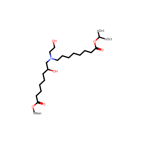 CCCCCCCCCOC(=O)CCCCCC(O)CN(CCO)CCCCCCCC(=O)OC(CCCCCCCC)CCCCCCCC